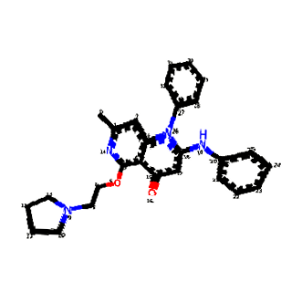 Cc1cc2c(c(OCCN3CCCC3)n1)c(=O)cc(Nc1ccccc1)n2-c1ccccc1